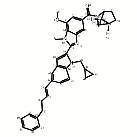 COc1cc(C(=O)N2C[C@H]3CCC2[C@H]3N)cc2nc(-c3cc4cc(/C=C/CCc5ccccc5)ccc4n3CC3CC3)n(C)c12